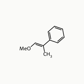 CO/C=C(\C)c1ccccc1